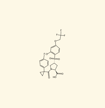 O=C(O)[C@@H]1C[C@@H](S(=O)(=O)c2ccc(OCC(F)(F)F)cc2Cl)CN1C(=O)C1(c2ccc(F)cc2)CC1